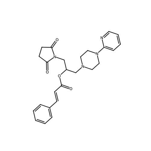 O=C(C=Cc1ccccc1)OC(CN1CCN(c2ccccn2)CC1)CN1C(=O)CCC1=O